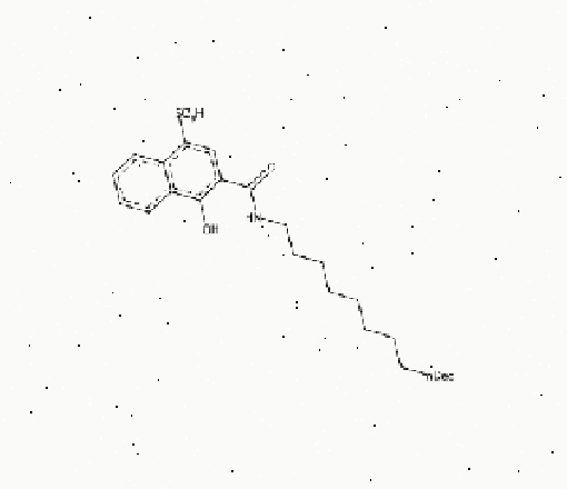 CCCCCCCCCCCCCCCCCCNC(=O)c1cc(S(=O)(=O)O)c2ccccc2c1O